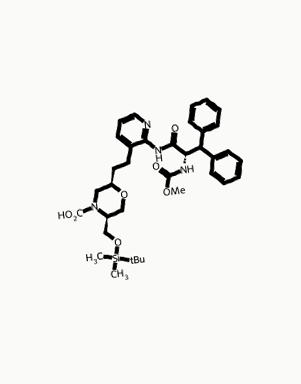 COC(=O)N[C@H](C(=O)Nc1ncccc1CC[C@@H]1CN(C(=O)O)[C@H](CO[Si](C)(C)C(C)(C)C)CO1)C(c1ccccc1)c1ccccc1